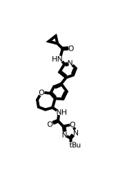 CC(C)(C)c1noc(C(=O)NC2CCCOc3cc(-c4ccnc(NC(=O)C5CC5)c4)ccc32)n1